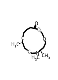 C[C@@H]1CCCCC(=O)OCOCC[C@@H](C)N(C)CCC1